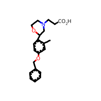 Cc1cc(OCc2ccccc2)ccc1C1CN(CCC(=O)O)CCO1